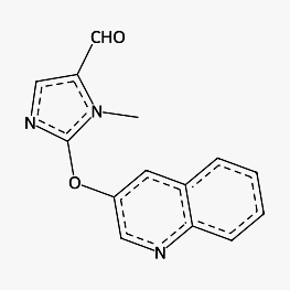 Cn1c(C=O)cnc1Oc1cnc2ccccc2c1